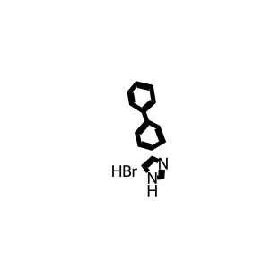 Br.c1c[nH]cn1.c1ccc(-c2ccccc2)cc1